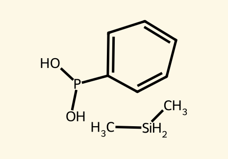 C[SiH2]C.OP(O)c1ccccc1